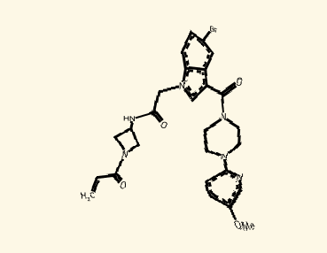 C=CC(=O)N1CC(NC(=O)Cn2cc(C(=O)N3CCN(c4ccc(OC)cn4)CC3)c3cc(Br)ccc32)C1